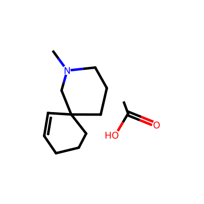 CC(=O)O.CN1CCCC2(C=CCCC2)C1